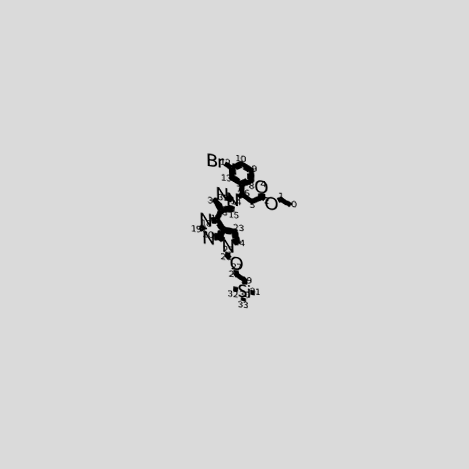 CCOC(=O)CC(c1cccc(Br)c1)n1cc(-c2ncnc3c2ccn3COCC[Si](C)(C)C)cn1